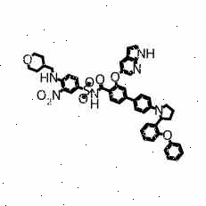 O=C(NS(=O)(=O)c1ccc(NCC2CCOCC2)c([N+](=O)[O-])c1)c1ccc(-c2ccc(N3CCCC3c3ccccc3Oc3ccccc3)cc2)cc1Oc1cnc2[nH]ccc2c1